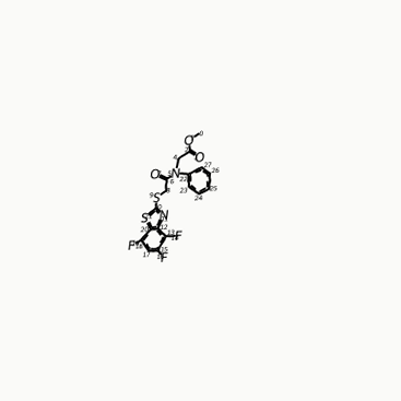 COC(=O)CN(C(=O)CSc1nc2c(F)c(F)cc(F)c2s1)c1ccccc1